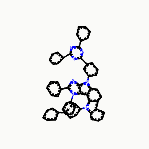 c1ccc(-c2ccc(-n3c4ccccc4c4ccc5c(c6c(nc(-c7ccccc7)n6-c6ccccc6)n5-c5cccc(-c6nc(-c7ccccc7)nc(-c7ccccc7)n6)c5)c43)cc2)cc1